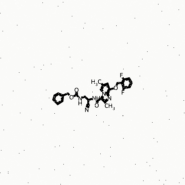 Cc1cc(OCc2c(F)cccc2F)c2nc(C)c(C(=O)NC(C#N)CNC(=O)OCc3ccccc3)n2c1